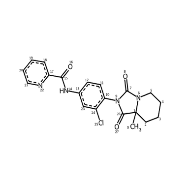 CC12CCCCN1C(=O)N(c1ccc(NC(=O)c3ccccn3)cc1Cl)C2=O